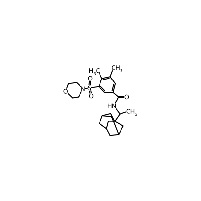 Cc1cc(C(=O)NC(C)C23CC4CC(CC(C4)C2)C3)cc(S(=O)(=O)N2CCOCC2)c1C